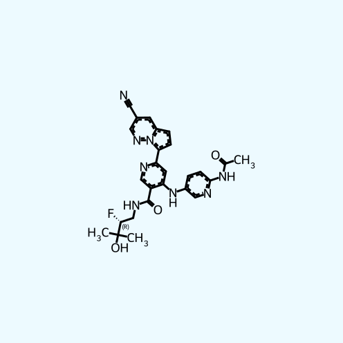 CC(=O)Nc1ccc(Nc2cc(-c3ccc4cc(C#N)cnn34)ncc2C(=O)NC[C@@H](F)C(C)(C)O)cn1